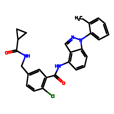 Cc1ccccc1-n1ncc2c(NC(=O)c3cc(CNC(=O)C4CC4)ccc3Cl)cccc21